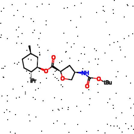 CC(C)[C@@H]1CC[C@@H](C)C[C@H]1OC(=O)[C@H]1C[C@@H](NC(=O)OC(C)(C)C)CO1